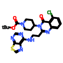 CC(C)(C)OC(=O)N1CCC(n2c(CCNc3ncnc4scnc34)nc3cccc(Cl)c3c2=O)CC1